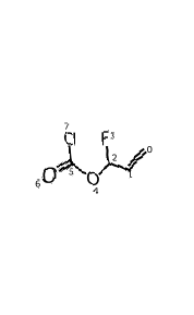 C=CC(F)OC(=O)Cl